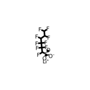 O=S(=O)([O-])C(F)C(F)(F)C(F)(F)C(F)C(F)C(F)F.[Li+]